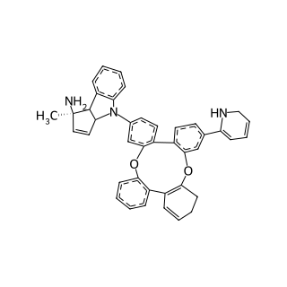 C[C@@]1(N)C=CC2C1c1ccccc1N2c1ccc2c(c1)Oc1ccccc1C1=C(CCC=C1)Oc1cc(C3=CC=CCN3)ccc1-2